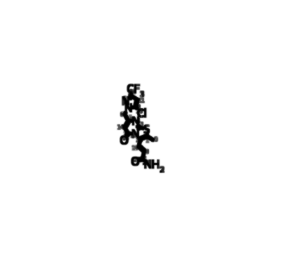 Cc1sc2nc(Cn3nc(C(F)(F)F)cc3Cl)cc(=O)n2c1C=CC(N)=O